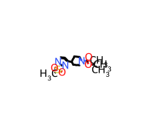 CC(C)(C)OC(=O)N1CCC(c2ccnc(S(C)(=O)=O)n2)CC1